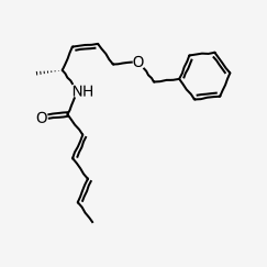 C/C=C/C=C/C(=O)N[C@H](C)/C=C\COCc1ccccc1